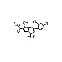 CCOC(=O)c1cc2c(C(F)(F)F)cc(-c3ccc(Cl)cc3Cl)cc2n1O